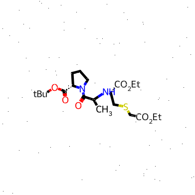 CCOC(=O)CSC[C@H](NC(C)C(=O)N1CCC[C@H]1C(=O)OC(C)(C)C)C(=O)OCC